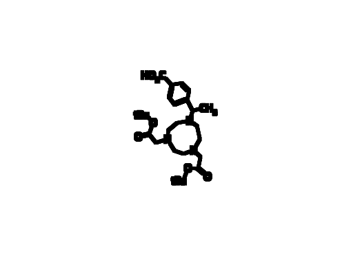 CC(c1ccc(C(=O)O)cc1)N1CCN(CC(=O)OC(C)(C)C)CCN(CC(=O)OC(C)(C)C)CC1